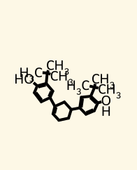 CC(C)(C)c1cc(C2=CCCC(c3ccc(O)c(C(C)(C)C)c3)C2)ccc1O